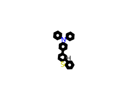 C1=C(c2ccc(N(c3ccccc3)c3ccccc3)cc2)C[C@@H]2C(=C1)Sc1ccccc12